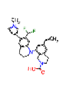 C=Cc1cc2c(c(N3CCCc4cc(-c5ccn(C)c5)c(C(F)F)cc43)c1)CN(C(=O)O)CC2